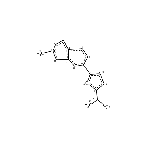 Cc1ccc2ccc(-c3ncc(C(C)C)o3)cc2c1